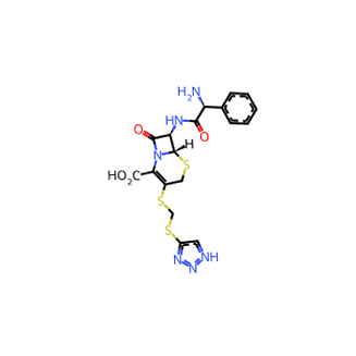 N[C@H](C(=O)N[C@@H]1C(=O)N2C(C(=O)O)=C(SCSc3c[nH]nn3)CS[C@@H]12)c1ccccc1